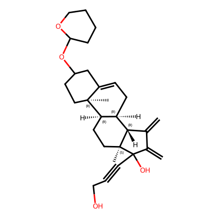 C=C1C(=C)C(O)(C#CCO)[C@@]2(C)CC[C@@H]3[C@@H](CC=C4CC(OC5CCCCO5)CC[C@@]43C)[C@H]12